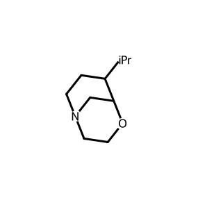 CC(C)C1CCN2CCOC1C2